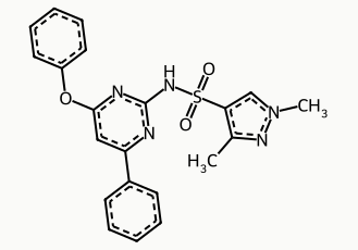 Cc1nn(C)cc1S(=O)(=O)Nc1nc(Oc2ccccc2)cc(-c2ccccc2)n1